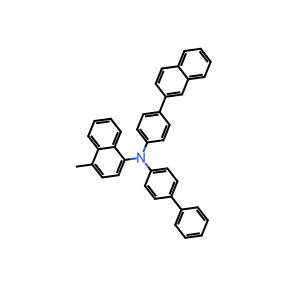 Cc1ccc(N(c2ccc(-c3ccccc3)cc2)c2ccc(-c3ccc4ccccc4c3)cc2)c2ccccc12